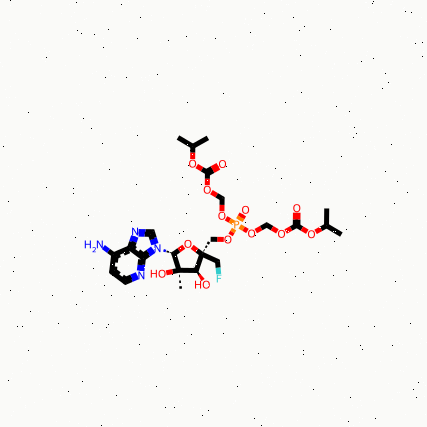 CC(C)OC(=O)OCOP(=O)(OCOC(=O)OC(C)C)OC[C@@]1(CF)O[C@@H](n2cnc3c(N)ccnc32)[C@](C)(O)[C@@H]1O